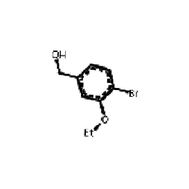 CCOc1cc([CH]O)ccc1Br